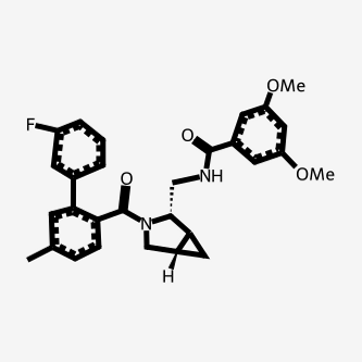 COc1cc(OC)cc(C(=O)NC[C@@H]2C3C[C@@H]3CN2C(=O)c2ccc(C)cc2-c2cccc(F)c2)c1